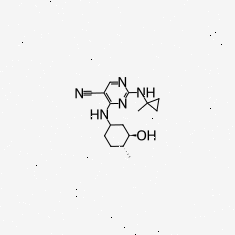 C[C@@H]1CCC(Nc2nc(NC3(C)CC3)ncc2C#N)C[C@H]1O